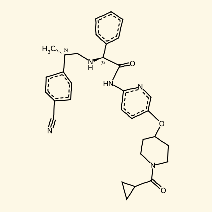 C[C@H](CN[C@H](C(=O)Nc1ccc(OC2CCN(C(=O)C3CC3)CC2)cn1)c1ccccc1)c1ccc(C#N)cc1